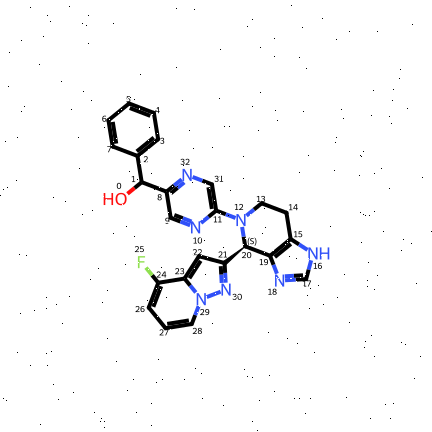 OC(c1ccccc1)c1cnc(N2CCc3[nH]cnc3[C@H]2c2cc3c(F)cccn3n2)cn1